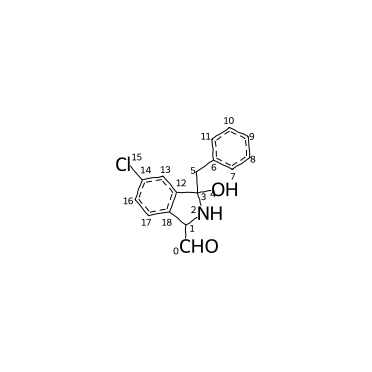 O=CC1NC(O)(Cc2ccccc2)c2cc(Cl)ccc21